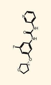 O=C(Nc1cccnc1)Nc1cc(F)cc(O[C@@H]2CCOC2)c1